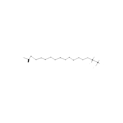 [2H]C([2H])([2H])C([2H])([2H])CCCCCCCCCCCCCC(=O)O